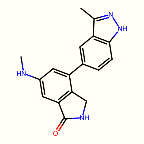 CNc1cc2c(c(-c3ccc4[nH]nc(C)c4c3)c1)CNC2=O